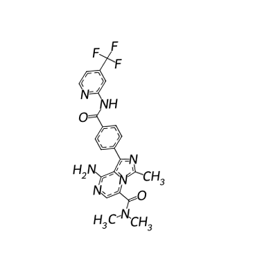 Cc1nc(-c2ccc(C(=O)Nc3cc(C(F)(F)F)ccn3)cc2)c2c(N)ncc(C(=O)N(C)C)n12